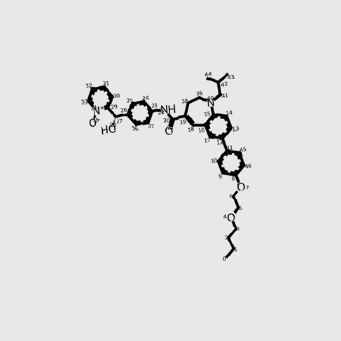 CCCCOCCOc1ccc(-c2ccc3c(c2)C=C(C(=O)Nc2ccc([C@H](O)c4cccc[n+]4[O-])cc2)CCN3CC(C)C)cc1